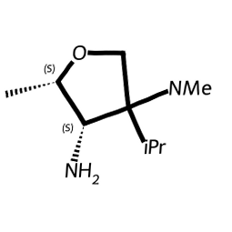 CNC1(C(C)C)CO[C@@H](C)[C@H]1N